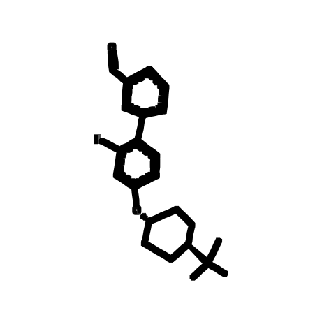 CC(C)(C)[C@H]1CC[C@H](Oc2ccc(-c3cccc(C=O)c3)c(F)c2)CC1